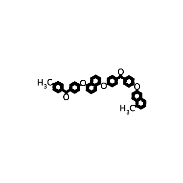 Cc1ccc(C(=O)c2ccc(Oc3cccc4c(Oc5ccc(C(=O)c6ccc(Oc7ccc8c(C)cccc8c7)cc6)cc5)cccc34)cc2)cc1